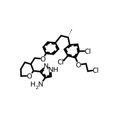 C[C@@H](Cc1ccc(OCC2CCCOC2c2n[nH]cc2N)cc1)c1cc(Cl)c(OCCCl)c(Cl)c1